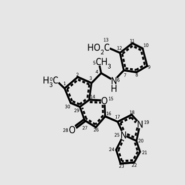 Cc1cc(C(C)Nc2ccccc2C(=O)O)c2oc(-c3cnc4ccccn34)cc(=O)c2c1